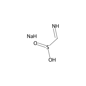 N=CS(=O)O.[NaH]